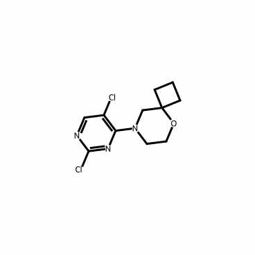 Clc1ncc(Cl)c(N2CCOC3(CCC3)C2)n1